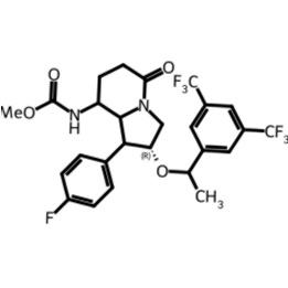 COC(=O)NC1CCC(=O)N2C[C@H](OC(C)c3cc(C(F)(F)F)cc(C(F)(F)F)c3)C(c3ccc(F)cc3)C12